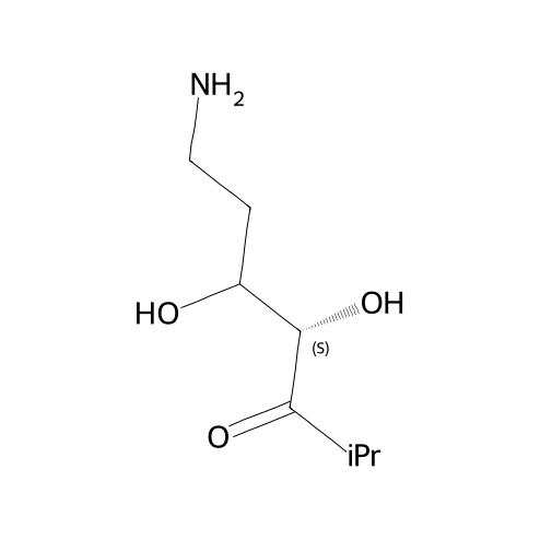 CC(C)C(=O)[C@@H](O)C(O)CCN